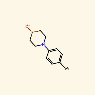 CC(C)c1ccc(N2CC[S+]([O-])CC2)cc1